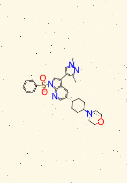 Cc1nn(C)cc1-c1cn(S(=O)(=O)c2ccccc2)c2ncc([C@H]3CC[C@H](N4CCOCC4)CC3)cc12